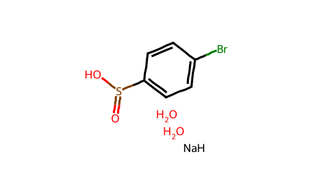 O.O.O=S(O)c1ccc(Br)cc1.[NaH]